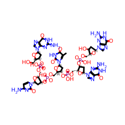 Cc1cn([C@H]2C[C@H](OP(=O)(O)OC[C@H]3O[C@@H](n4cnc5c(=O)[nH]c(N)nc54)C[C@@H]3OP(=O)(O)OC[C@H]3O[C@@H](n4cnc5c(=O)[nH]c(N)nc54)C[C@@H]3O)[C@@H](COP(=O)(O)O[C@H]3C[C@H](n4ccc(N)nc4=O)O[C@@H]3COP(=O)(O)O[C@H]3C[C@H](n4cnc5c(=O)[nH]c(N)nc54)O[C@@H]3CO)O2)c(=O)[nH]c1=O